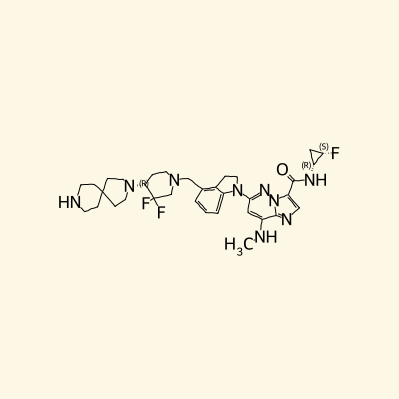 CNc1cc(N2CCc3c(CN4CC[C@@H](N5CCC6(CCNCC6)CC5)C(F)(F)C4)cccc32)nn2c(C(=O)N[C@@H]3C[C@@H]3F)cnc12